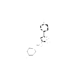 C[C@H]1CC[C@H](CNc2cc(-c3ccc(F)cc3)n[nH]2)CC1